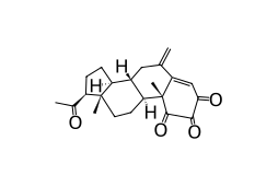 C=C1C[C@@H]2[C@H](CC[C@]3(C)[C@@H](C(C)=O)CC[C@@H]23)[C@@]2(C)C(=O)C(=O)C(=O)C=C12